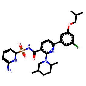 CC(C)COc1cc(F)cc(-c2ccc(C(=O)NS(=O)(=O)C3C=CC=C(N)N3)c(N3CC(C)CCC3C)n2)c1